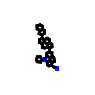 N#Cc1ccc2c3c1ccc1cc(-c4ccc5ccc6c(-c7ccc8ccccc8c7)ccc7ccc4c5c76)cc(c13)n2-c1ccccc1